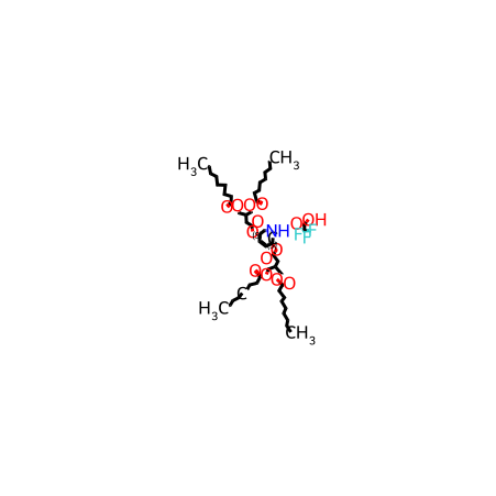 CCCCCCCCC(=O)OCC(COC(=O)CCCCCCCC)CC(=O)O[C@H]1C=C[C@H](OC(=O)CC(COC(=O)CCCCCCCC)COC(=O)CCCCCCCC)CNC1.O=C(O)C(F)(F)F